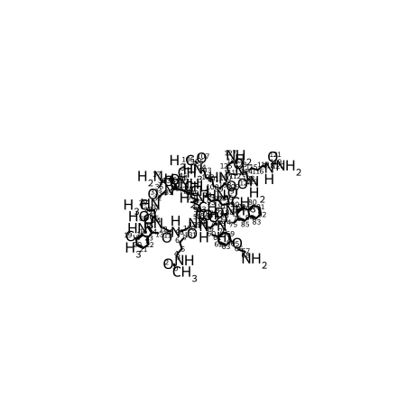 CC(=O)NCCCC[C@@H]1NC(=O)[C@H](Cc2c[nH]c3c(C)cccc23)NC(=O)[C@H]([C@@H](C)O)NC(=O)[C@H](CC(N)=O)NC(=O)[C@@H](NC(C)=O)C(C)(C)SSC(C)(C)[C@@H](C(=O)N[C@@H](Cc2ccc(OCCN)cc2)C(=O)N[C@@H](Cc2ccc3ccccc3c2)C(=O)N[C@@](C)(CCCCN)C(=O)N[C@@H](CCCCNC(C)=O)C(=O)N[C@H](CN[C@@H](CCCNC(N)=O)C(N)=O)CC(N)=O)NC1=O